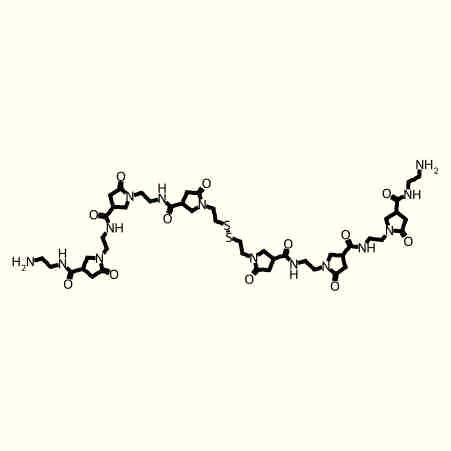 NCCNC(=O)C1CC(=O)N(CCNC(=O)C2CC(=O)N(CCNC(=O)C3CC(=O)N(CCSSCCN4CC(C(=O)NCCN5CC(C(=O)NCCN6CC(C(=O)NCCN)CC6=O)CC5=O)CC4=O)C3)C2)C1